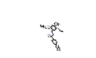 C=CCc1cc(/C=C/C(=O)c2ccc(OCC)cc2)c(OC)cc1O